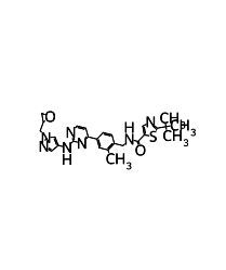 Cc1cc(-c2ccnc(Nc3cnn(CC4CO4)c3)n2)ccc1CNC(=O)c1cnc(C(C)(C)C)s1